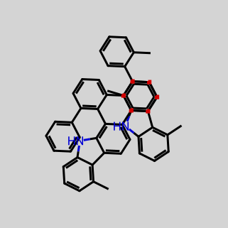 Cc1ccccc1-c1ccc2c([nH]c3cccc(C)c32)c1-c1cccc(-c2ccccc2)c1-c1c(-c2ccccc2C)ccc2c1[nH]c1cccc(C)c12